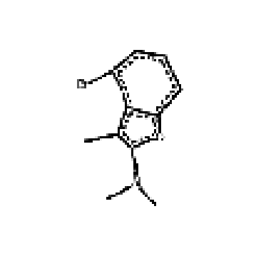 Cc1c(N(C)C)oc2cccc(Br)c12